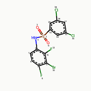 O=S(=O)(Nc1ccc(F)c(Br)c1F)c1cc(Cl)cc(Cl)c1